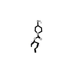 BC1CCN(C(=O)OC(/C=C\C=C)=C/C)CC1